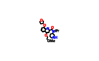 COCCOc1cc(C(=O)N(C(C)C)[C@@H]2CCCNC2)nc2c(O[C@@H]3CCOC3)cccc12